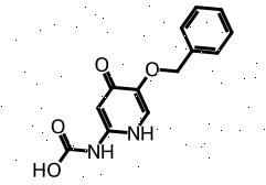 O=C(O)Nc1cc(=O)c(OCc2ccccc2)c[nH]1